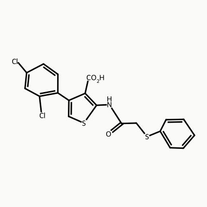 O=C(CSc1ccccc1)Nc1scc(-c2ccc(Cl)cc2Cl)c1C(=O)O